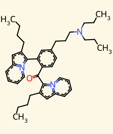 CCCCc1cc2ccccn2c1C(=O)c1ccc(CCCN(CCC)CCC)cc1-c1c(CCCC)cc2ccccn12